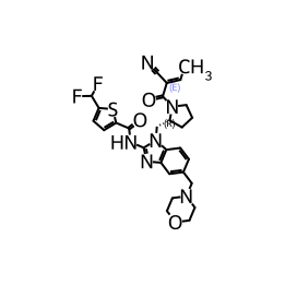 C/C=C(\C#N)C(=O)N1CCC[C@@H]1Cn1c(NC(=O)c2ccc(C(F)F)s2)nc2cc(CN3CCOCC3)ccc21